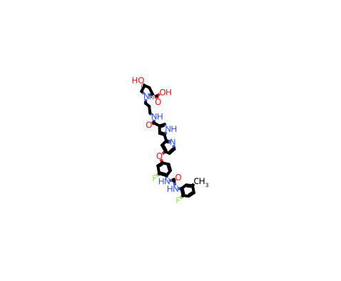 Cc1ccc(F)c(NC(=O)Nc2ccc(Oc3ccnc(-c4cc(C(=O)NCCCN5C[C@@H](O)C[C@@H]5C(=O)O)c[nH]4)c3)cc2F)c1